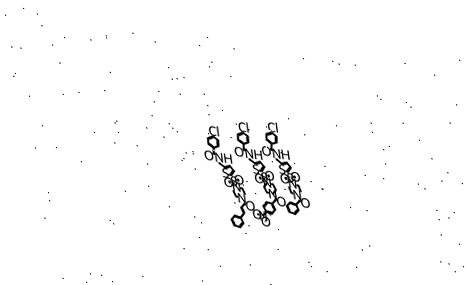 O=C(NCc1ccc(S(=O)(=O)N2CCN(C(=O)/C=C/c3ccccc3)CC2)s1)c1ccc(Cl)cc1.O=C(NCc1ccc(S(=O)(=O)N2CCN(C(=O)c3ccc([N+](=O)[O-])cc3)CC2)s1)c1ccc(Cl)cc1.O=C(NCc1ccc(S(=O)(=O)N2CCN(C(=O)c3ccccc3)CC2)s1)c1ccc(Cl)cc1